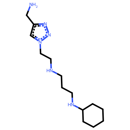 NCc1cn(CCNCCCNC2CCCCC2)nn1